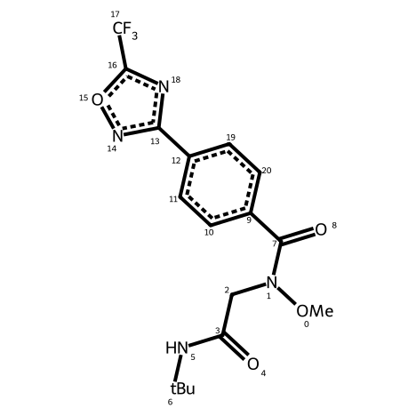 CON(CC(=O)NC(C)(C)C)C(=O)c1ccc(-c2noc(C(F)(F)F)n2)cc1